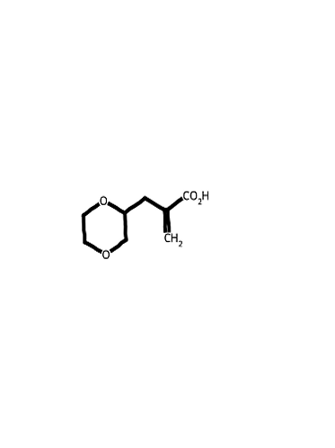 C=C(CC1COCCO1)C(=O)O